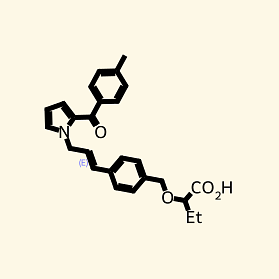 CCC(OCc1ccc(/C=C/Cn2cccc2C(=O)c2ccc(C)cc2)cc1)C(=O)O